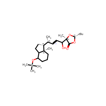 C[C@H](/C=C/C(O)[C@@]1(C)O[C@H](C(C)(C)C)OC1=O)[C@H]1CCC2C(O[Si](C)(C)C)CCC[C@@]21C